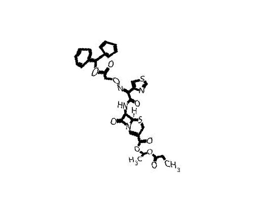 CCC(=O)OC(C)OC(=O)C1=CN2C(=O)C(NC(=O)C(=NOCC(=O)OC(c3ccccc3)c3ccccc3)c3cscn3)[C@H]2SC1